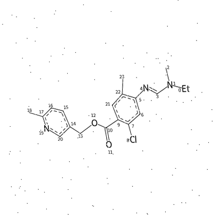 CCN(C)/C=N/c1cc(Cl)c(C(=O)OCc2ccc(C)nc2)cc1C